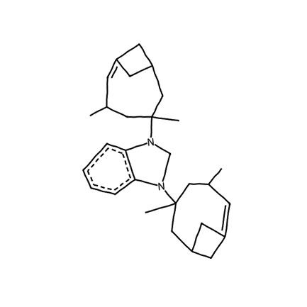 CC1C=C2CC(C2)CC(C)(N2CN(C3(C)CC(C)C=C4CC(C4)C3)c3ccccc32)C1